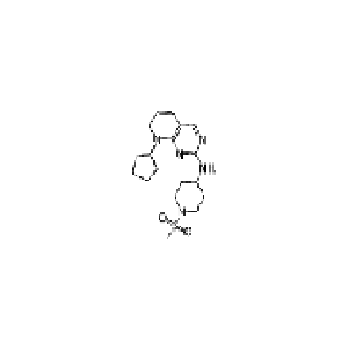 CS(=O)(=O)N1CCC(Nc2ncc3c(n2)N(C2CCCC2)CC=C3)CC1